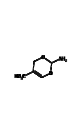 NC1OC=C(C(=O)O)CO1